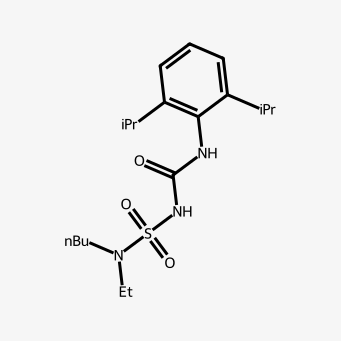 CCCCN(CC)S(=O)(=O)NC(=O)Nc1c(C(C)C)cccc1C(C)C